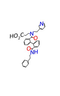 O=C(O)CCN(CCc1cccnc1)C(=O)c1ccccc1-c1ccccc1C(=O)NCCc1ccccc1